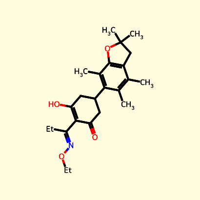 CCON=C(CC)C1=C(O)CC(c2c(C)c(C)c3c(c2C)OC(C)(C)C3)CC1=O